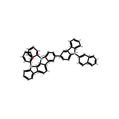 c1ccc(-n2c3ccccc3c3ccc4c5cc(-c6ccc7c(c6)c6ccccc6n7-c6ccc7ccccc7c6)ccc5n(-c5ccccc5)c4c32)cc1